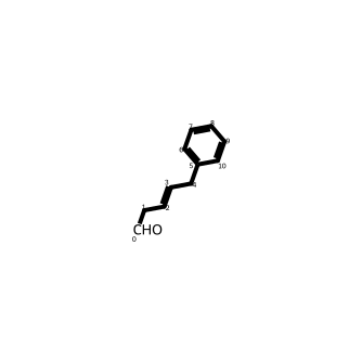 O=CCC=CCc1ccccc1